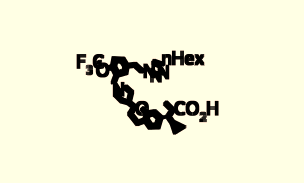 CCCCCCc1cn(CCc2ccc(OC(F)(F)F)c(CN3CCC(C4CCc5ccc([C@H](C6CC6)[C@H](C)C(=O)O)cc5O4)CC3)c2)nn1